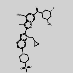 COc1cc(C(=O)N2C[C@H](N)C[C@@H](F)C2)cn2nc(-c3cc4ccc(N5CCC(S(C)(=O)=O)CC5)cc4n3CC3CC3)c(C)c12